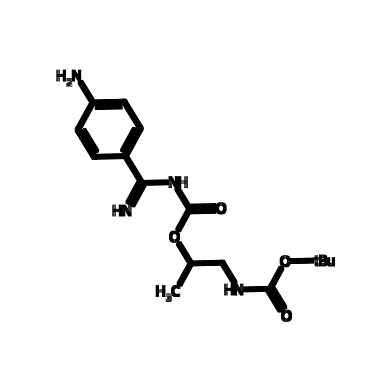 CC(CNC(=O)OC(C)(C)C)OC(=O)NC(=N)c1ccc(N)cc1